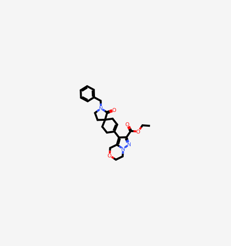 CCOC(=O)c1nn2c(c1C1=CCC3(CC1)CCN(Cc1ccccc1)C3=O)COCC2